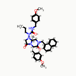 CCCN(C(=O)NCc1ccc(OC)cc1)N1CC(=O)N2[C@@H](Cc3ccc(OC)cc3)C(=O)N(Cc3cccc4ccccc34)C[C@@H]21